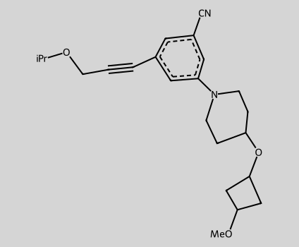 COC1CC(OC2CCN(c3cc(C#N)cc(C#CCOC(C)C)c3)CC2)C1